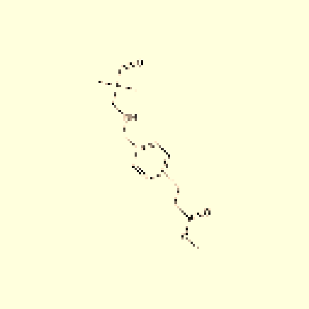 COC(=O)CCc1ccc(CNCC(C)(C)C=O)cc1